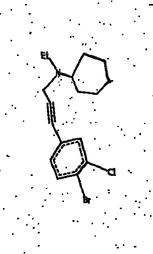 CCN(CC#Cc1ccc(Br)c(Cl)c1)C1CCCCC1